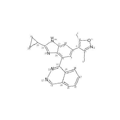 Cc1noc(C)c1-c1cc(-c2nncc3ccccc23)c2nc(C3CC3)[nH]c2c1